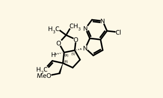 C=C[C@@]1(COC)CC[C@]2(n3ccc4c(Cl)ncnc43)OC(C)(C)O[C@H]12